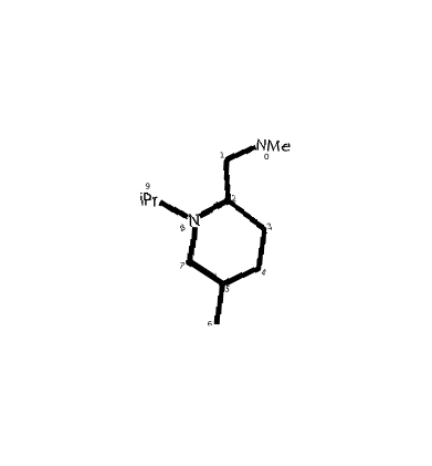 CNCC1CCC(C)CN1C(C)C